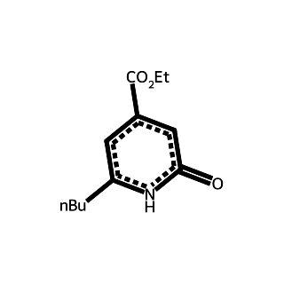 CCCCc1cc(C(=O)OCC)cc(=O)[nH]1